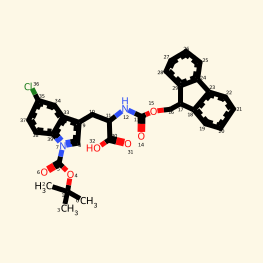 CC(C)(C)OC(=O)n1cc(CC(NC(=O)OCC2c3ccccc3-c3ccccc32)C(=O)O)c2cc(Cl)ccc21